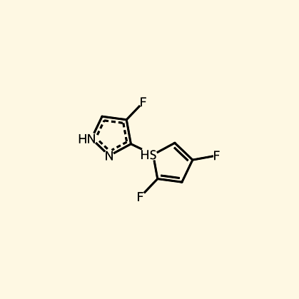 FC1=C[SH](c2n[nH]cc2F)C(F)=C1